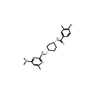 Cc1cc(N(C)C)nc(NC[C@H]2CC[C@@H](NC(=O)c3ccc(Br)c(C)c3)CC2)n1